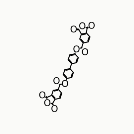 O=C(Oc1ccc(-c2ccc(OC(=O)c3ccc4c(c3)C(=O)OC4=O)cc2)cc1)c1ccc2c(c1)C(=O)OC2=O